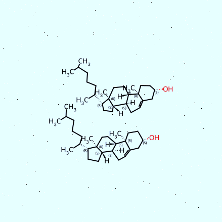 CC(C)CCCC(C)[C@H]1CC[C@H]2[C@@H]3CC=C4C[C@@H](O)CC[C@]4(C)[C@H]3CC[C@]12C.CC(C)CCCC(C)[C@H]1CC[C@H]2[C@@H]3CC=C4C[C@@H](O)CC[C@]4(C)[C@H]3CC[C@]12C